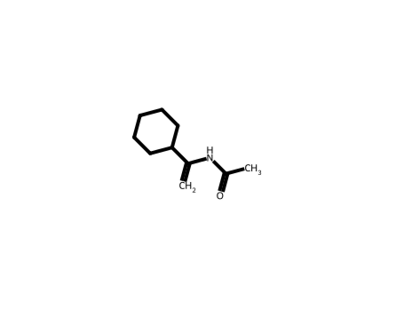 C=C(NC(C)=O)C1CCCCC1